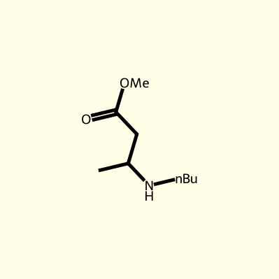 CCCCNC(C)CC(=O)OC